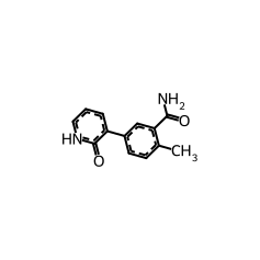 Cc1ccc(-c2ccc[nH]c2=O)cc1C(N)=O